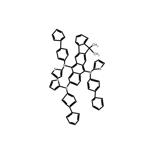 CC1(C)c2ccccc2-c2cc3c(N(c4ccc(-c5ccccc5)cc4)c4cccs4)c4cc(N(c5ccc(-c6ccccc6)cc5)c5cccs5)ccc4c(N(c4ccc(-c5ccccc5)cc4)c4cccs4)c3cc21